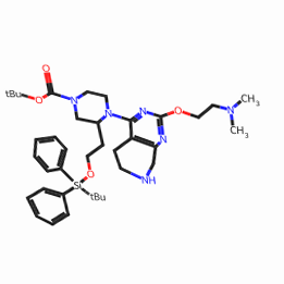 CN(C)CCOc1nc2c(c(N3CCN(C(=O)OC(C)(C)C)CC3CCO[Si](c3ccccc3)(c3ccccc3)C(C)(C)C)n1)CCNC2